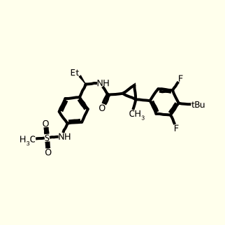 CC[C@@H](NC(=O)C1CC1(C)c1cc(F)c(C(C)(C)C)c(F)c1)c1ccc(NS(C)(=O)=O)cc1